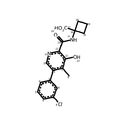 Cc1c(-c2cccc(Cl)c2)cnc(C(=O)NC2(C(=O)O)CCC2)c1O